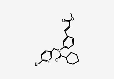 COC(=O)C=Cc1cccc(N(Cc2ccc(Br)nc2)C(=O)C2CCCCC2)c1